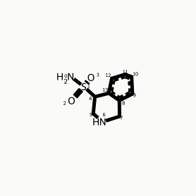 NS(=O)(=O)C1CNCc2ccccc21